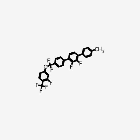 Cc1ccc(-c2ccc(-c3ccc(C(F)(F)Oc4ccc(C(F)(F)F)c(F)c4)cc3)c(F)c2F)cc1